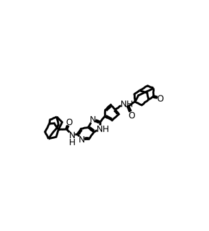 O=C1C2CC3CC1CC(C(=O)Nc1ccc(-c4nc5cc(NC(=O)C67CC8CC(CC(C8)C6)C7)ncc5[nH]4)cc1)(C3)C2